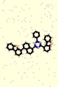 c1ccc(-c2nc(-c3cccc4c(-c5cccc6c5sc5ccccc56)cccc34)nc(-c3cccc4oc5ccccc5c34)n2)cc1